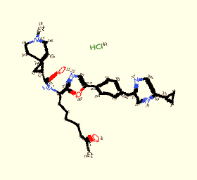 CCC(=O)CCCCCC(NC(=O)[C@H]1CC12CCN(CC)CC2)c1ncc(-c2ccc(-c3cnc(C4CC4)cn3)cc2)o1.Cl